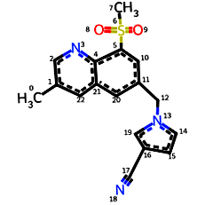 Cc1cnc2c(S(C)(=O)=O)cc(Cn3ccc(C#N)c3)cc2c1